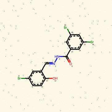 O=C(N/N=C/c1cc(Br)ccc1O)c1cc(Br)cc(Br)c1